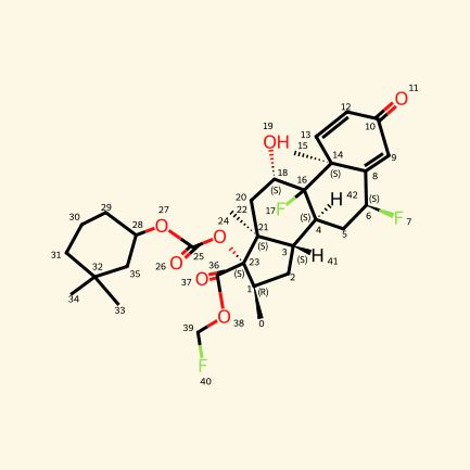 C[C@@H]1C[C@H]2[C@@H]3C[C@H](F)C4=CC(=O)C=C[C@]4(C)C3(F)[C@@H](O)C[C@]2(C)[C@]1(OC(=O)OC1CCCC(C)(C)C1)C(=O)OCF